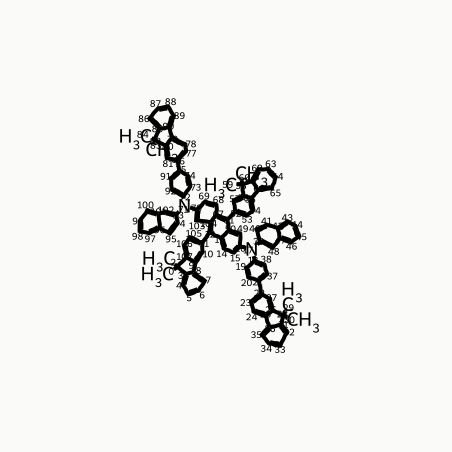 CC1(C)c2ccccc2-c2cc(-c3c4ccc(N(c5ccc(-c6ccc7c(c6)C(C)(C)c6ccccc6-7)cc5)c5ccc6ccccc6c5)cc4c(-c4ccc5c(c4)C(C)(C)c4ccccc4-5)c4ccc(N(c5ccc(-c6ccc7c(c6)C(C)(C)c6ccccc6-7)cc5)c5ccc6ccccc6c5)cc34)ccc21